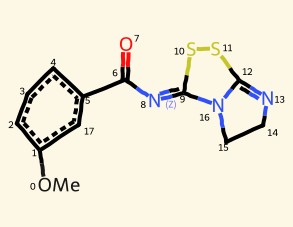 COc1cccc(C(=O)/N=C2\SSC3=NCCN32)c1